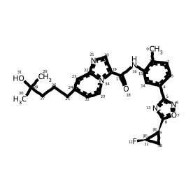 Cc1ccc(-c2noc([C@H]3C[C@H]3F)n2)cc1NC(=O)c1cnc2cc(CCCC(C)(C)O)ccn12